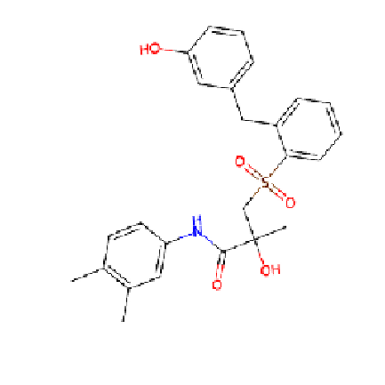 Cc1ccc(NC(=O)C(C)(O)CS(=O)(=O)c2ccccc2Cc2cccc(O)c2)cc1C